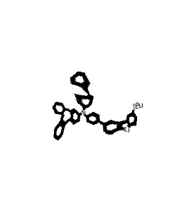 CC(C)(C)c1ccc2oc3ccc(-c4ccc(N(c5ccc(-c6ccccc6)cc5)c5ccc6c(c5)C5C=CC=CC5c5ccccc5-6)cc4)cc3c2c1